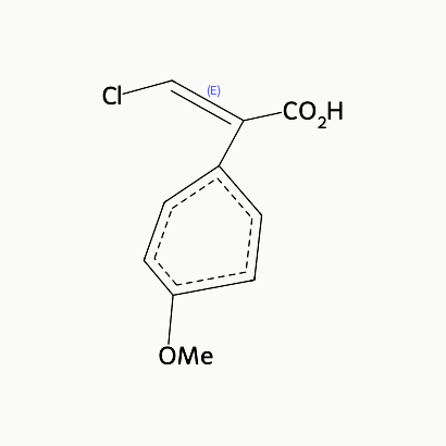 COc1ccc(/C(=C\Cl)C(=O)O)cc1